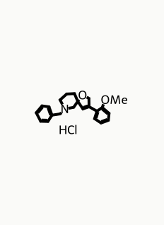 COc1ccccc1C1=CC2(CCCN(Cc3ccccc3)C2)OC1.Cl